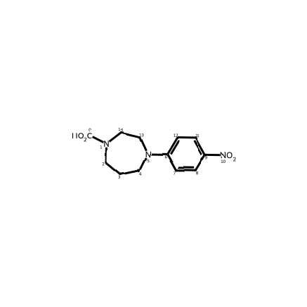 O=C(O)N1CCCN(c2ccc([N+](=O)[O-])cc2)CC1